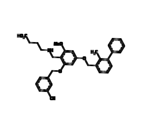 COc1cc(OCc2cccc(-c3ccccc3)c2C)cc(OCc2cccc(C#N)c2)c1CNCCCC(=O)O